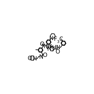 C=N/C(=C\C(=C/C)C(=O)NCc1cccc(C(F)(F)F)c1)c1cc(N2CCCCC2)ccc1NC(=O)c1cc(C)cc(C(=O)N(C)CCN2CCOCC2)c1